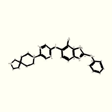 Clc1c(Sc2cnc(N3CCC4(CCOC4)CC3)cn2)ccc2nc(Oc3ccccc3)[nH]c12